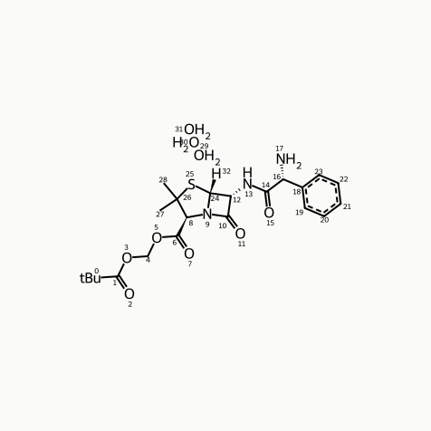 CC(C)(C)C(=O)OCOC(=O)[C@@H]1N2C(=O)[C@@H](NC(=O)[C@H](N)c3ccccc3)[C@H]2SC1(C)C.O.O.O